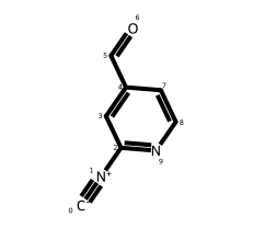 [C-]#[N+]c1cc(C=O)ccn1